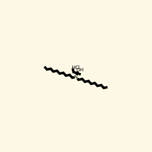 CCCCCCCCCCN(CCCCCCCCCC)C(C)(O)CC.Cl